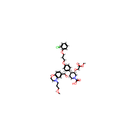 COCCCN1CCOc2ccc(CO[C@H]3CN(C(=O)O)C[C@@H](OCC(=O)OC)[C@@H]3c3ccc(OCCCOc4ccccc4Cl)cc3)cc21